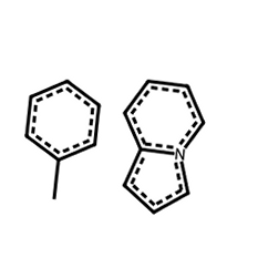 Cc1ccccc1.c1ccn2cccc2c1